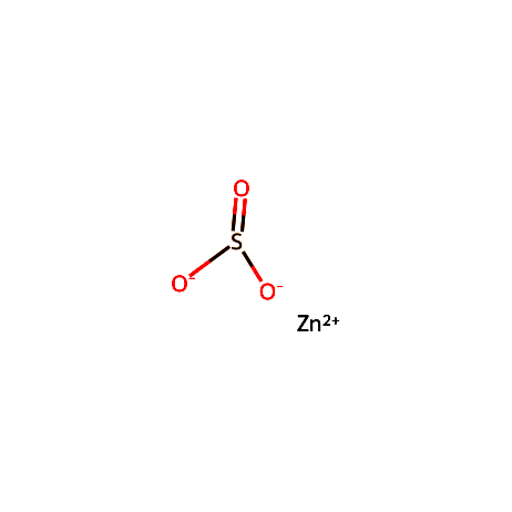 O=S([O-])[O-].[Zn+2]